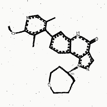 COc1ncc(C)c(-c2ccc3c(c2)[nH]c(=O)c2cnn([C@H]4CCCOCC4)c23)c1C